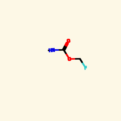 [NH]C(=O)OCF